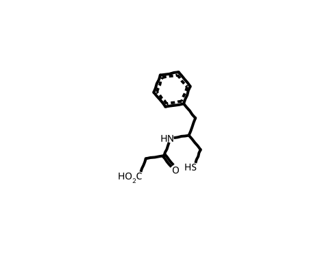 O=C(O)CC(=O)NC(CS)Cc1ccccc1